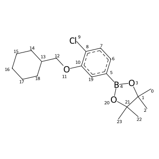 CC1(C)OB(c2ccc(Cl)c(OCC3CCCCC3)c2)OC1(C)C